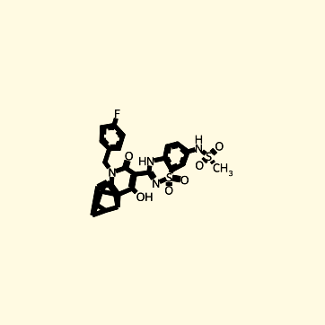 CS(=O)(=O)Nc1ccc2c(c1)S(=O)(=O)N=C(C1=C(O)C3C4C5C6C7C4C7C(C56)C3N(Cc3ccc(F)cc3)C1=O)N2